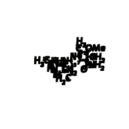 C=CCC\C(=N/C(/C=C(\C=C)C(N)=O)=C(\C)COC)NC(=C)c1cc(C)nn1CC